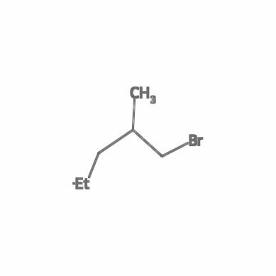 C[CH]CC(C)CBr